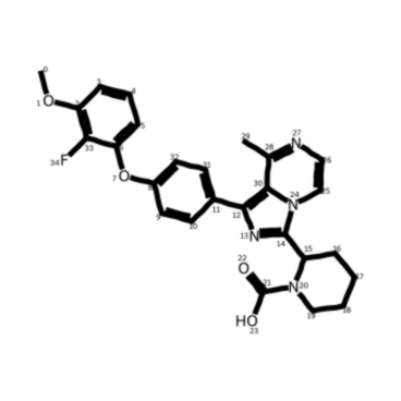 COc1cccc(Oc2ccc(-c3nc(C4CCCCN4C(=O)O)n4ccnc(C)c34)cc2)c1F